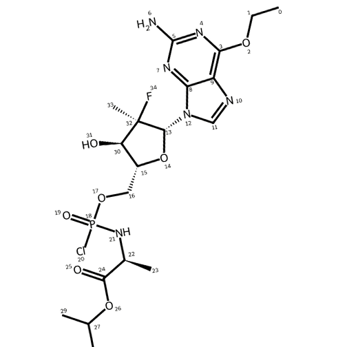 CCOc1nc(N)nc2c1ncn2[C@@H]1O[C@H](COP(=O)(Cl)N[C@@H](C)C(=O)OC(C)C)[C@@H](O)[C@@]1(C)F